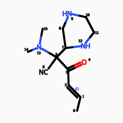 C/C=C/C(=O)C(C#N)(C1CNCCN1)N(C)C